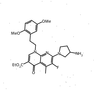 CCOC(=O)c1cn(CCc2cc(OC)ccc2OC)c2nc(N3CCC(N)C3)c(F)c(C)c2c1=O